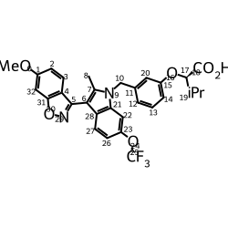 COc1ccc2c(-c3c(C)n(Cc4cccc(O[C@@H](C(=O)O)C(C)C)c4)c4cc(OC(F)(F)F)ccc34)noc2c1